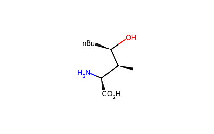 CCCC[C@@H](O)[C@@H](C)[C@H](N)C(=O)O